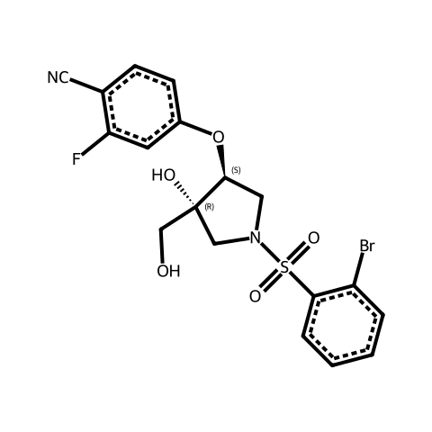 N#Cc1ccc(O[C@H]2CN(S(=O)(=O)c3ccccc3Br)C[C@@]2(O)CO)cc1F